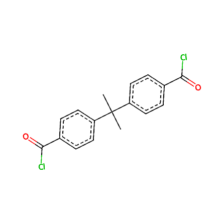 CC(C)(c1ccc(C(=O)Cl)cc1)c1ccc(C(=O)Cl)cc1